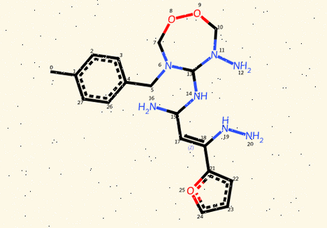 Cc1ccc(CN2COOCN(N)C2NC(N)/C=C(\NN)c2ccco2)cc1